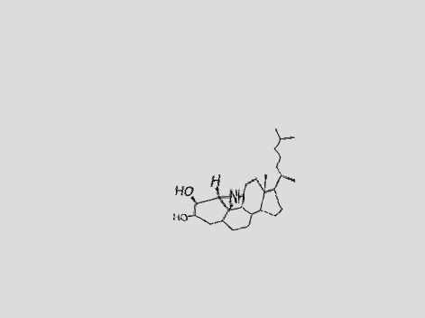 CC(C)CCC[C@@H](C)C1CCC2C3CCC4C[C@@H](O)[C@@H](O)[C@@H]5N[C@@]45C3CC[C@@]21C